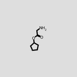 NCC(=O)OC1C[CH]CC1